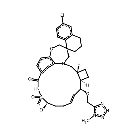 CC[C@@H]1CC/C=C/[C@H](OCc2nnnn2C)[C@@H]2CC[C@H]2CN2C[C@@]3(CCCc4cc(Cl)ccc43)COc3ccc(cc32)C(=O)NS1(=O)=O